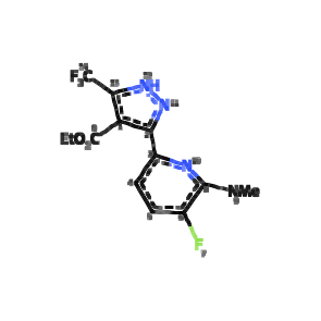 CCOC(=O)c1c(-c2ccc(F)c(NC)n2)n[nH]c1C(F)(F)F